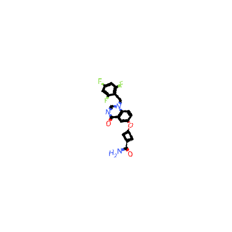 NC(=O)[C@H]1C[C@H](Oc2ccc3c(c2)c(=O)ncn3Cc2c(F)cc(F)cc2F)C1